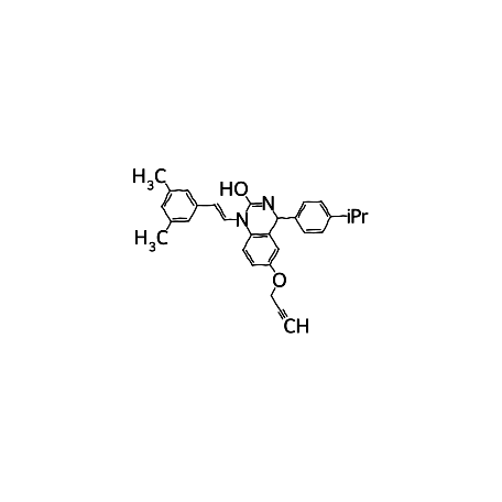 C#CCOc1ccc2c(c1)C(c1ccc(C(C)C)cc1)N=C(O)N2/C=C/c1cc(C)cc(C)c1